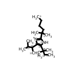 CCCCC(C)(C)c1nc(C(C)C(C)C)c(C(C)(C)CC)[nH]1